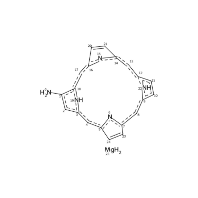 Nc1cc2cc3nc(cc4ccc(cc5nc(cc1[nH]2)C=C5)[nH]4)C=C3.[MgH2]